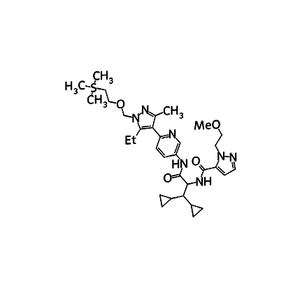 CCc1c(-c2ccc(NC(=O)C(NC(=O)c3ccnn3CCOC)C(C3CC3)C3CC3)cn2)c(C)nn1COCCS(C)(C)C